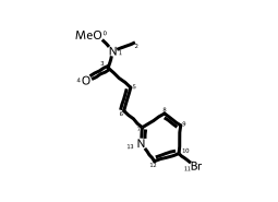 CON(C)C(=O)C=Cc1ccc(Br)cn1